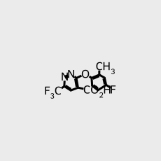 Cc1cc(F)ccc1Oc1nnc(C(F)(F)F)cc1C(=O)O